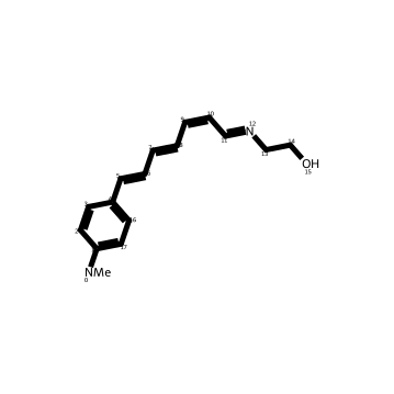 CNc1ccc(/C=C/C=C/C=C\C=N\CCO)cc1